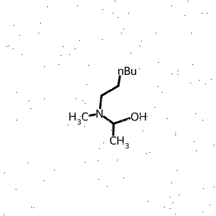 CCCCCCN(C)C(C)O